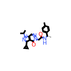 Cc1ccc([C@H](C)NC(=O)Cn2ncc3c(c(C4CC4)nn3C(C)C)c2=O)cc1